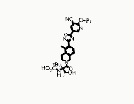 Cc1c(-c2noc(-c3cnc(OC(C)C)c(C#N)c3)n2)ccc2c1CCN(C(=O)[C@@](NC(=O)O)([C@@H](C)O)C(C)(C)C)C2